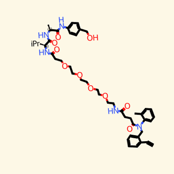 C#Cc1ccccc1CN(C(=O)CCC(=O)NCCOCCOCCOCCOCCC(=O)N[C@H](C(=O)N[C@@H](C)C(=O)Nc1ccc(CO)cc1)C(C)C)c1ccccc1C